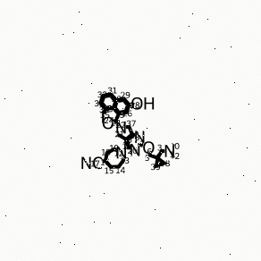 CN(C)CC1(COc2nc3c(c(N4CCCC(C#N)CC4)n2)CN(C(=O)c2cc(O)cc4cccc(I)c24)C3)CC1